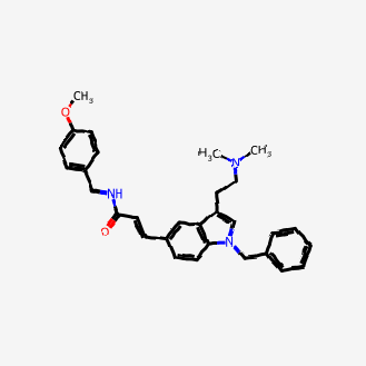 COc1ccc(CNC(=O)C=Cc2ccc3c(c2)c(CCN(C)C)cn3Cc2ccccc2)cc1